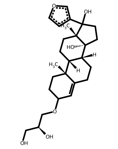 C[C@]12CCC(OC[C@@H](O)CO)C=C1CC[C@@H]1[C@H]2CC[C@]2(C)C(O)(c3ccoc3)CC[C@@]12O